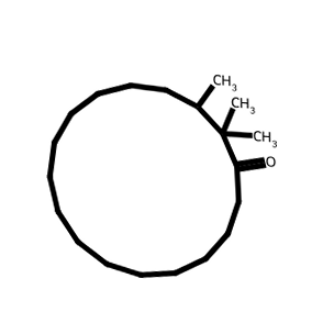 CC1CCCCCCCCCCCCCCC(=O)C1(C)C